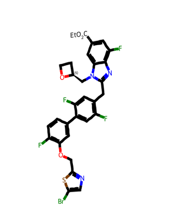 CCOC(=O)c1cc(F)c2nc(Cc3cc(F)c(-c4ccc(F)c(OCc5ncc(Br)s5)c4)cc3F)n(C[C@@H]3CCO3)c2c1